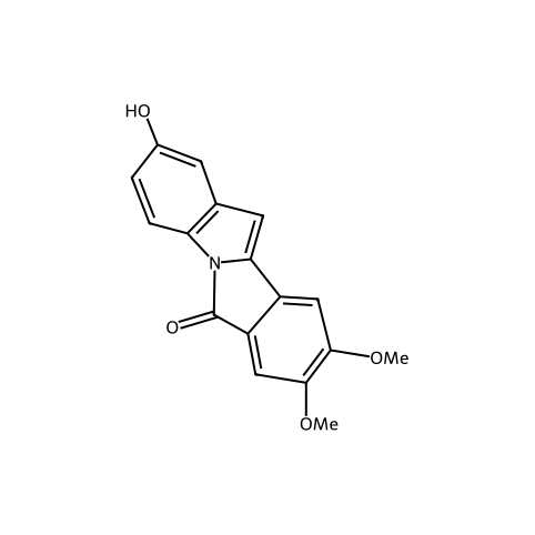 COc1cc2c(cc1OC)-c1cc3cc(O)ccc3n1C2=O